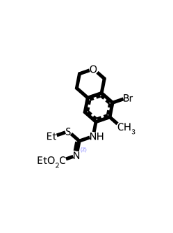 CCOC(=O)/N=C(/Nc1cc2c(c(Br)c1C)COCC2)SCC